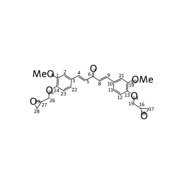 COc1cc(/C=C/C(=O)/C=C/c2ccc(OCC3CO3)c(OC)c2)ccc1OCC1CO1